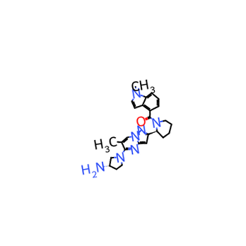 Cc1cn2nc([C@@H]3CCCCN3C(=O)c3cccc4c3ccn4C)cc2nc1N1CC[C@H](N)C1